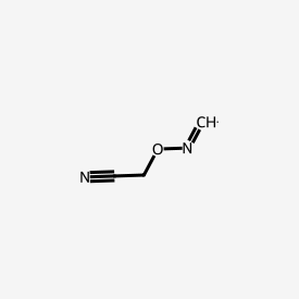 [CH]=NOCC#N